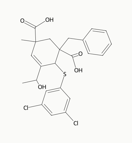 CC(O)C1=CC(C)(C(=O)O)CC(Cc2ccccc2)(C(=O)O)C1Sc1cc(Cl)cc(Cl)c1